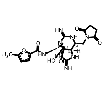 Cc1ccc(C(=O)N[C@H]2CN3C(=N)N[C@@H](CN4C(=O)CCC4=O)[C@@H]4NC(=N)N[C@@]43C2(O)O)o1